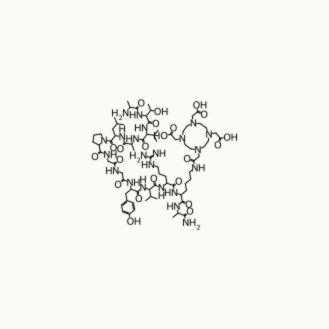 CC(C)CC(NC(=O)C(C)NC(=O)C(NC(=O)C(NC(=O)C(C)N)C(C)O)C(C)C)C(=O)N1CCCC1C(=O)NCC(=O)NCC(=O)NC(Cc1ccc(O)cc1)C(=O)NC(C(=O)NC(CCCNC(=N)N)C(=O)NC(CCCCNC(=O)CN1CCN(CC(=O)O)CCN(CC(=O)O)CCN(CC(=O)O)CC1)C(=O)NC(C)C(N)=O)C(C)C